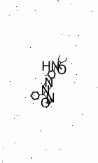 CCC(CC)C(=O)Nc1ccc(N2CCN(C(c3ccccc3)c3ncco3)CC2)c(C)c1